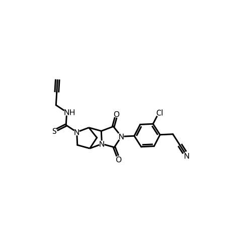 C#CCNC(=S)N1CC2CC1C1C(=O)N(c3ccc(CC#N)c(Cl)c3)C(=O)N21